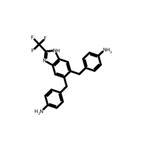 Nc1ccc(Cc2cc3nc(C(F)(F)F)[nH]c3cc2Cc2ccc(N)cc2)cc1